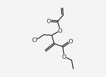 C=CC(=O)OC(CCl)C(=C)C(=O)OCC